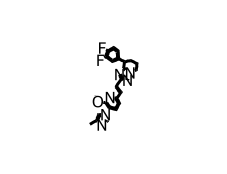 COc1nc(/C=C/c2nc3n(n2)CCCC3c2ccc(F)c(F)c2)ccc1-n1cnc(C)c1